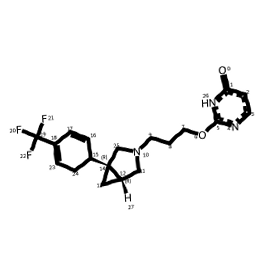 O=c1ccnc(OCCCN2C[C@@H]3C[C@]3(C3C=CC(C(F)(F)F)=CC3)C2)[nH]1